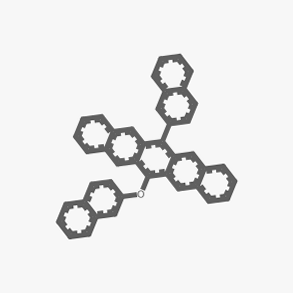 c1ccc2cc(Oc3c4cc5ccccc5cc4c(-c4ccc5ccccc5c4)c4cc5ccccc5cc34)ccc2c1